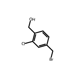 OCc1ccc(CBr)cc1Cl